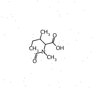 CCC(C)C(C(=O)O)N(C)[C]=O